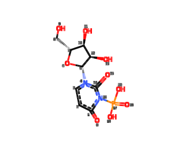 O=c1ccn([C@@H]2O[C@H](CO)[C@@H](O)[C@H]2O)c(=O)n1P(=O)(O)O